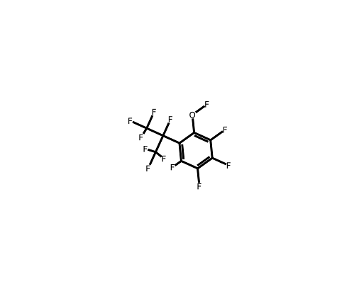 FOc1c(F)c(F)c(F)c(F)c1C(F)(C(F)(F)F)C(F)(F)F